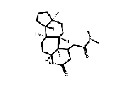 CN(C)C(=O)CC1CC(=O)N[C@@H]2CC[C@H]3[C@@H]4CCC[C@@]4(C)CC[C@@H]3[C@@]12C